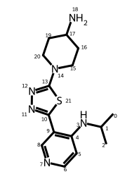 CC(C)Nc1ccncc1-c1nnc(N2CCC(N)CC2)s1